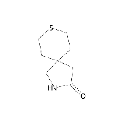 O=C1CC2(CCSCC2)CN1